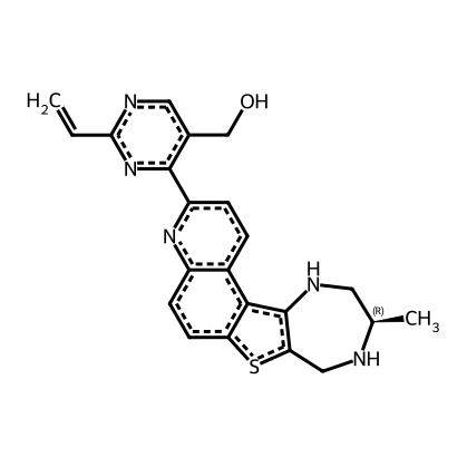 C=Cc1ncc(CO)c(-c2ccc3c(ccc4sc5c(c43)NC[C@@H](C)NC5)n2)n1